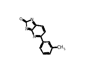 Cc1cccc(-c2ccc3c(n2)=NC(=O)N=3)c1